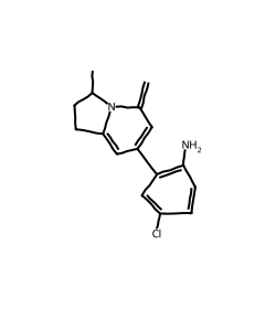 C=C1C=C(c2cc(Cl)ccc2N)C=C2CCC(C)N12